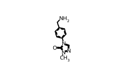 Cn1ncn(-c2ccc(CN)cc2)c1=O